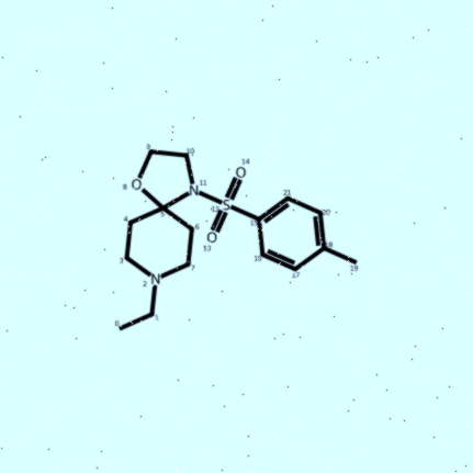 CCN1CCC2(CC1)OCCN2S(=O)(=O)c1ccc(C)cc1